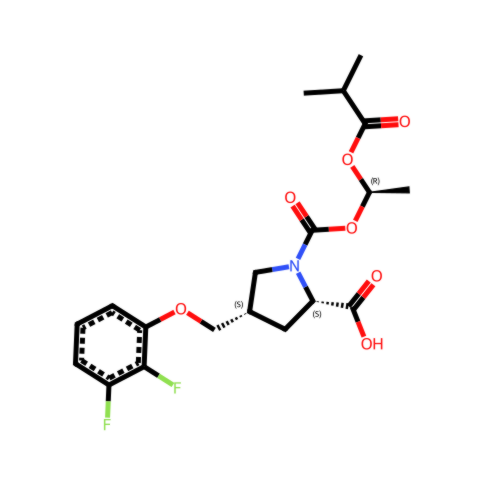 CC(C)C(=O)O[C@@H](C)OC(=O)N1C[C@@H](COc2cccc(F)c2F)C[C@H]1C(=O)O